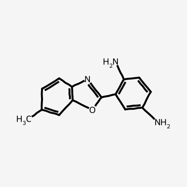 Cc1ccc2nc(-c3cc(N)ccc3N)oc2c1